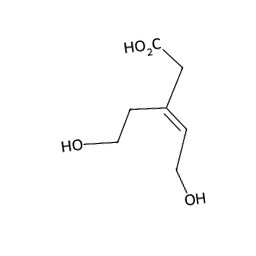 O=C(O)CC(=CCO)CCO